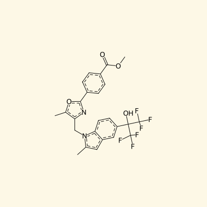 COC(=O)c1ccc(-c2nc(Cn3c(C)cc4cc(C(O)(C(F)(F)F)C(F)(F)F)ccc43)c(C)o2)cc1